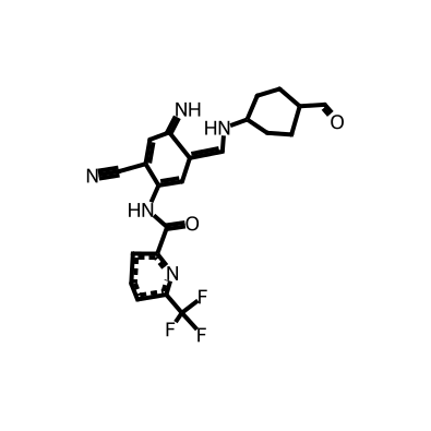 N#CC1=CC(=N)/C(=C\NC2CCC(C=O)CC2)C=C1NC(=O)c1cccc(C(F)(F)F)n1